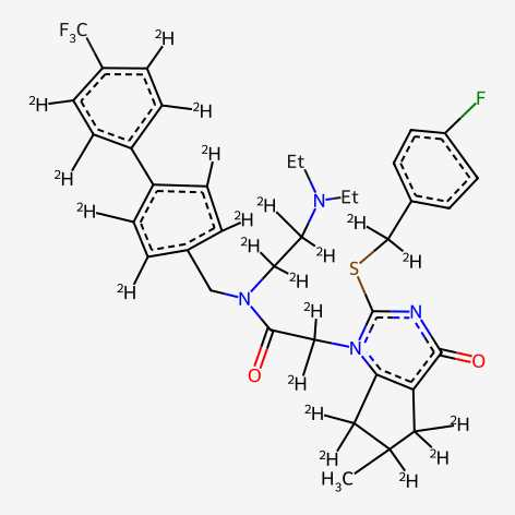 [2H]c1c([2H])c(-c2c([2H])c([2H])c(C(F)(F)F)c([2H])c2[2H])c([2H])c([2H])c1CN(C(=O)C([2H])([2H])n1c(SC([2H])([2H])c2ccc(F)cc2)nc(=O)c2c1C([2H])([2H])C([2H])(C)C2([2H])[2H])C([2H])([2H])C([2H])([2H])N(CC)CC